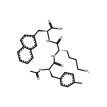 CC(=O)N[C@H](Cc1ccc(I)cc1)C(=O)N[C@@H](CCCCN)C(=O)N[C@@H](Cc1ccc2ccccc2c1)C(=O)O